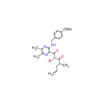 C=CCC(C)C(=O)C(Br)C(=O)c1nc(C)c(C)nc1NCc1ccc(OC)cc1